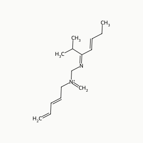 C=C/C=C/C[N+](=C)C/N=C(/C=C/CC)C(C)C